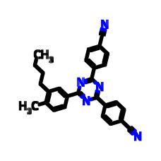 CCCCc1cc(-c2nc(-c3ccc(C#N)cc3)nc(-c3ccc(C#N)cc3)n2)ccc1C